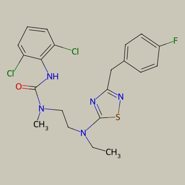 CCN(CCN(C)C(=O)Nc1c(Cl)cccc1Cl)c1nc(Cc2ccc(F)cc2)ns1